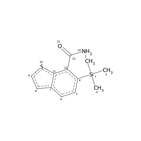 C[Si](C)(C)c1ccc2ccsc2c1C(N)=O